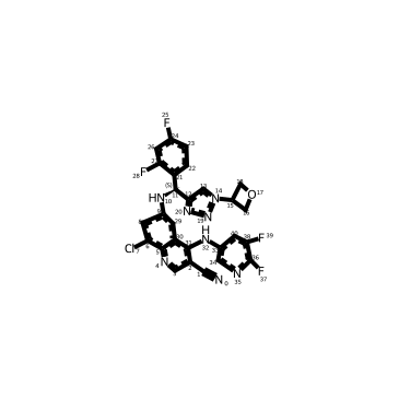 N#Cc1cnc2c(Cl)cc(N[C@H](c3cn(C4COC4)nn3)c3ccc(F)cc3F)cc2c1Nc1cnc(F)c(F)c1